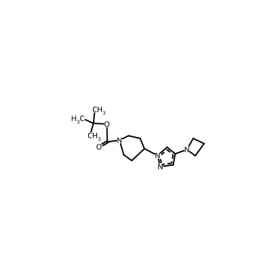 CC(C)(C)OC(=O)N1CCC(n2cc(N3CCC3)cn2)CC1